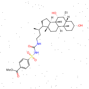 CC[C@H]1[C@@H](O)[C@@H]2[C@H](CC[C@]3(C)[C@@H]([C@H](C)CCNC(=O)NS(=O)(=O)c4ccc(C(=O)OC)cc4)CC[C@@H]23)[C@@]2(C)CC[C@@H](O)C[C@@H]12